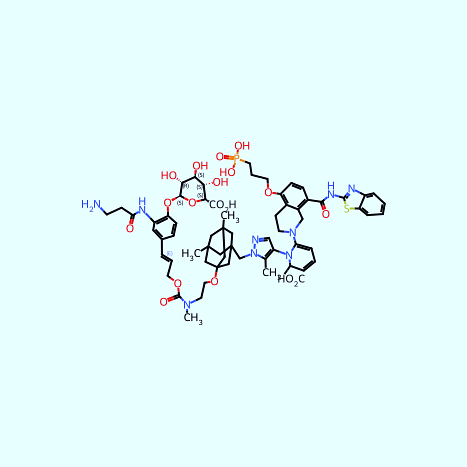 Cc1c(N2C(N3CCc4c(OCCCP(=O)(O)O)ccc(C(=O)Nc5nc6ccccc6s5)c4C3)=CC=CC2C(=O)O)cnn1CC12CC3(C)CC(C)(C1)CC(OCCN(C)C(=O)OC/C=C/c1ccc(O[C@@H]4O[C@H](C(=O)O)[C@@H](O)[C@H](O)[C@H]4O)c(NC(=O)CCN)c1)(C3)C2